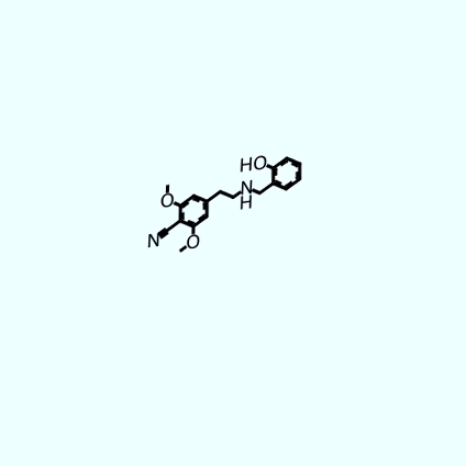 COc1cc(CCNCc2ccccc2O)cc(OC)c1C#N